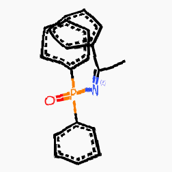 C/C(=N/P(=O)(c1ccccc1)c1ccccc1)c1ccccc1